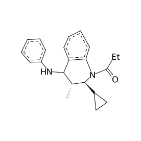 CCC(=O)N1c2ccccc2C(Nc2ccccc2)[C@@H](C)[C@@H]1C1CC1